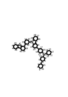 c1ccc(-c2ccc(N(c3ccccc3)c3ccc(-c4ccc5c(c4)c4ccccc4n5-c4cccc(-c5cccc6c5sc5ccccc56)c4)cc3)cc2)cc1